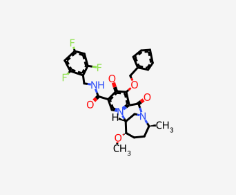 CO[C@H]1CC[C@H](C)N2C[C@H]1n1cc(C(=O)NCc3c(F)cc(F)cc3F)c(=O)c(OCc3ccccc3)c1C2=O